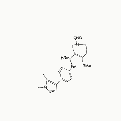 CNC1=C(C(=N)Nc2ccc(-c3cnn(C)c3C)cc2)CN(C=O)CC1